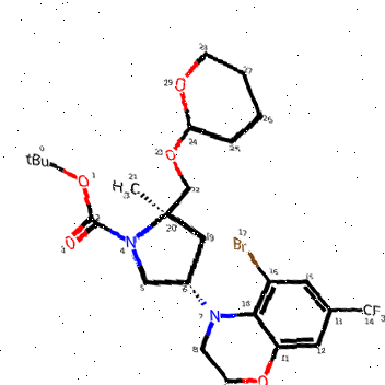 CC(C)(C)OC(=O)N1C[C@@H](N2CCOc3cc(C(F)(F)F)cc(Br)c32)C[C@]1(C)COC1CCCCO1